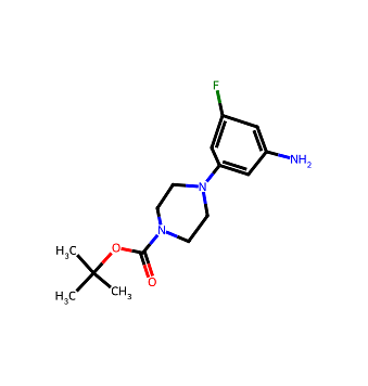 CC(C)(C)OC(=O)N1CCN(c2cc(N)cc(F)c2)CC1